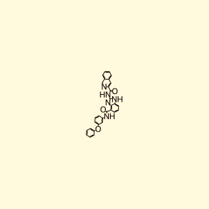 O=C(Nc1nc2c(C(=O)Nc3cccc(Oc4ccccc4)c3)cccc2[nH]1)c1cc2ccccc2cn1